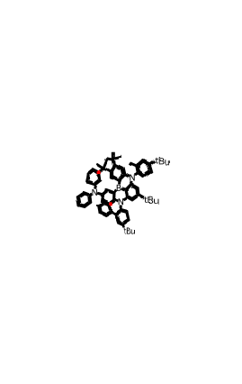 Cc1cc(C(C)(C)C)ccc1N1c2cc3c(cc2B2c4cc(N(c5ccccc5)c5ccccc5)ccc4N(c4ccc(C(C)(C)C)cc4-c4ccccc4)c4cc(C(C)(C)C)cc1c42)C(C)(C)CC3(C)C